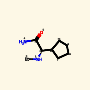 CCN[C@H](C(N)=O)C1CCCC1